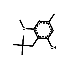 COc1cc(C)cc(O)c1CC(C)(C)C